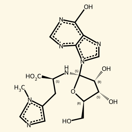 Cn1cncc1C[C@H](N[C@@]1(n2cnc3c(O)ncnc32)O[C@H](CO)[C@@H](O)[C@H]1O)C(=O)O